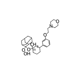 C[C@]1(OC2(OO)C3CC4CC(C3)CC2C4)CCCC(c2cccc(OCCN3CCOCC3)c2)C1